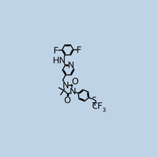 CC1(C)C(=O)N(c2ccc(SC(F)(F)F)cc2)C(=O)N1Cc1ccnc(Nc2cc(F)ccc2F)c1